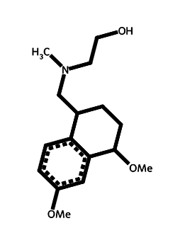 COc1ccc2c(c1)C(OC)CCC2CN(C)CCO